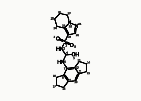 O=S(=O)(NC(O)Nc1c2c(cc3c1CCC3)CCC2)c1cnn2c1CCCC2